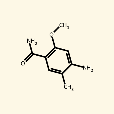 COc1cc(N)c(C)cc1C(N)=O